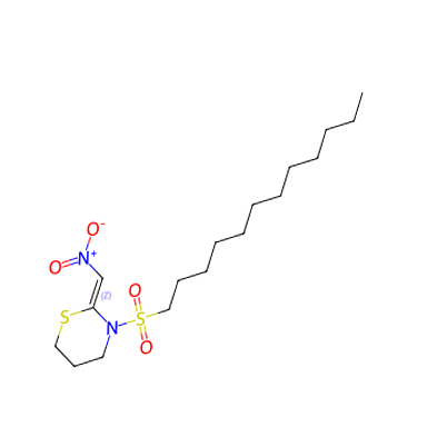 CCCCCCCCCCCCS(=O)(=O)N1CCCS/C1=C\[N+](=O)[O-]